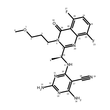 COCCCn1c([C@H](C)Nc2nc(N)nc(N)c2C#N)nc2c(F)ccc(F)c2c1=O